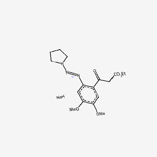 CCOC(=O)CC(=O)c1cc(OC)c(OC)cc1/N=N/N1CCCC1.[NaH]